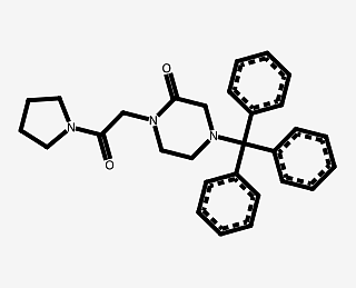 O=C(CN1CCN(C(c2ccccc2)(c2ccccc2)c2ccccc2)CC1=O)N1CCCC1